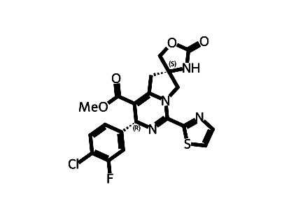 COC(=O)C1=C2C[C@@]3(COC(=O)N3)CN2C(c2nccs2)=N[C@@H]1c1ccc(Cl)c(F)c1